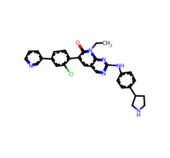 CCn1c(=O)c(-c2ccc(-c3cccnc3)cc2Cl)cc2cnc(Nc3ccc(C4CCNC4)cc3)nc21